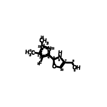 Cc1c(F)c(C2NC(CO)=CO2)nn1C